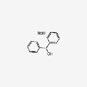 OC(c1ccccc1)c1ccccc1.[NaH]